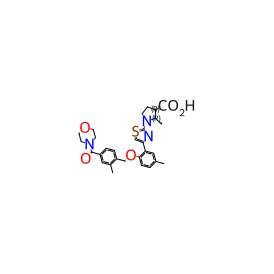 Cc1ccc(OCc2ccc(C(=O)N3CCOCC3)cc2C)c(-c2csc(N3CC[C@@H](C(=O)O)[C@H]3C)n2)c1